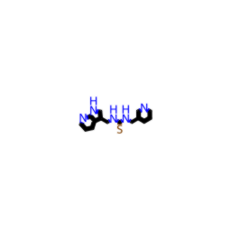 S=C(NCc1cccnc1)NCc1c[nH]c2ncccc12